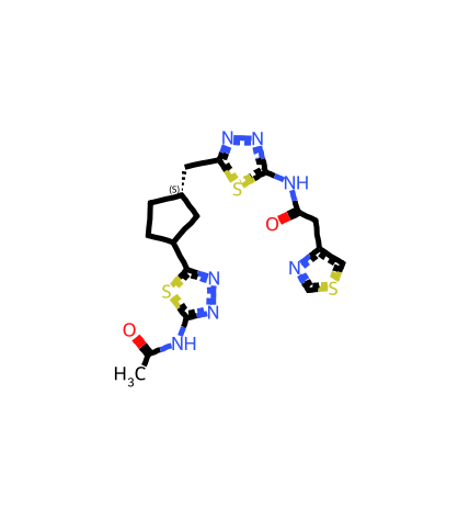 CC(=O)Nc1nnc(C2CC[C@H](Cc3nnc(NC(=O)Cc4cscn4)s3)C2)s1